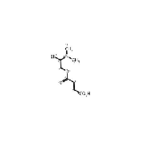 CCC(COC(=O)CCC(=O)O)N(C)C